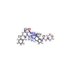 CCC1CN(C)C2=C(N[C@@](N)(Nc3cc4ccn(C(=O)CN5CCOCC5)c4cc3OC)NC2=O)N1Cc1ccccc1